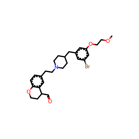 COCCOc1cc(Br)cc(CC2CCN(CCc3ccc4c(c3)C(C=O)CCO4)CC2)c1